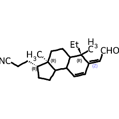 CC[C@@]1(C)/C(=C\C=O)C=CC2C1CC[C@@]1(C)C2CC[C@@H]1CCC#N